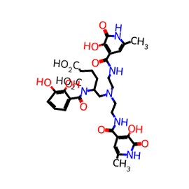 Cc1cc(C(=O)NCCN(CCNC(=O)c2cc(C)[nH]c(=O)c2O)CC(CCCC(=O)O)N(C(=O)O)C(=O)c2cccc(O)c2O)c(O)c(=O)[nH]1